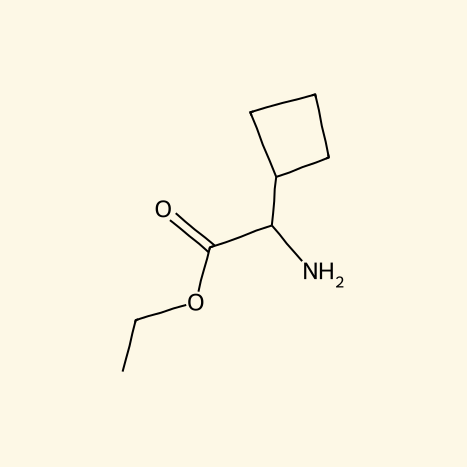 CCOC(=O)C(N)C1CCC1